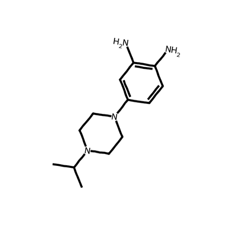 CC(C)N1CCN(c2ccc(N)c(N)c2)CC1